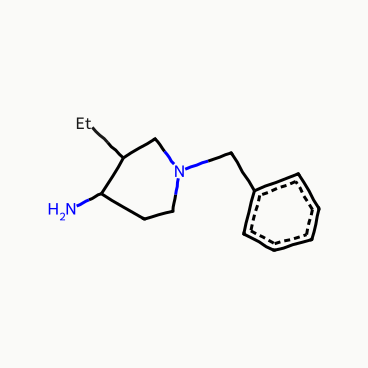 CCC1CN(Cc2ccccc2)CCC1N